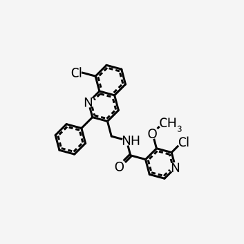 COc1c(C(=O)NCc2cc3cccc(Cl)c3nc2-c2ccccc2)ccnc1Cl